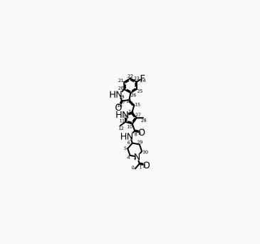 CC(=O)N1CCC(NC(=O)c2c(C)[nH]c(/C=C3\C(=O)Nc4ccc(F)cc43)c2C)CC1